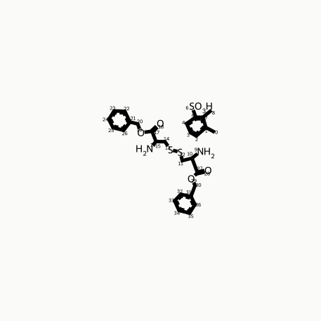 Cc1cccc(S(=O)(=O)O)c1C.NC(CSSCC(N)C(=O)OCc1ccccc1)C(=O)OCc1ccccc1